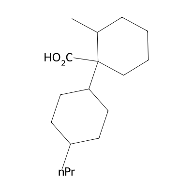 CCCC1CCC(C2(C(=O)O)CCCCC2C)CC1